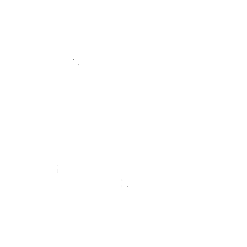 Cc1nc(O)sc1-c1ccncc1